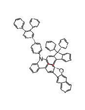 c1ccc(-c2ccc(-c3ccc(N(c4ccc5c(c4)C(c4ccccc4)(c4ccccc4)c4ccccc4-5)c4ccccc4-c4ccc5oc6cc7ccccc7cc6c5c4)cc3)cc2-c2ccccc2)cc1